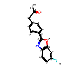 CC(C)C(=O)Cc1ccc(-c2nc3ccc(F)cc3o2)cc1